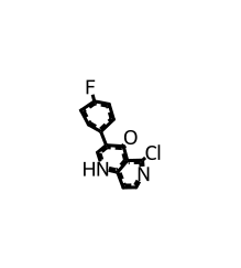 O=c1c(-c2ccc(F)cc2)c[nH]c2ccnc(Cl)c12